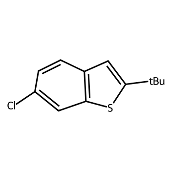 CC(C)(C)c1cc2ccc(Cl)cc2s1